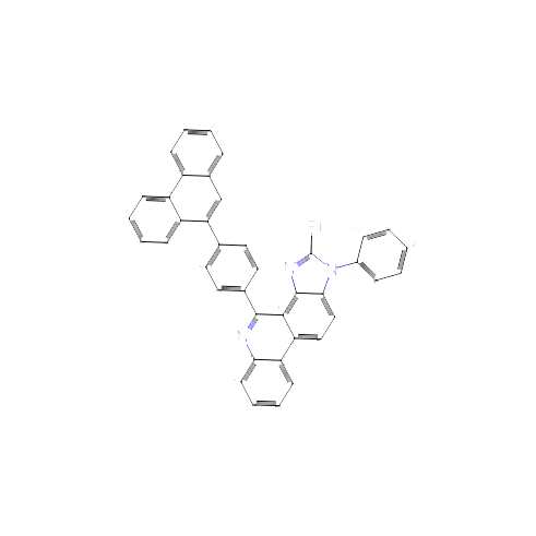 CCc1nc2c3c(-c4ccc(-c5cc6ccccc6c6ccccc56)cc4)nc4ccccc4c3ccc2n1-c1ccccc1